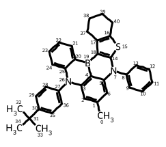 Cc1cc2c3c(c1)N(c1ccccc1)c1sc4c(c1B3c1ccccc1N2c1ccc(C(C)(C)C)cc1)CCCC4